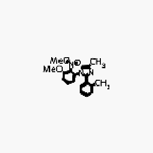 COc1cccc(-n2cc(C)nc2-c2ccccc2C)c1[N+](=O)OC